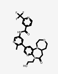 Cc1ncc(NC(=O)c2ccnc(C(F)(F)F)c2)cc1-c1cnc2c(c1)N1CCOCCC1CC(=O)N2CCO